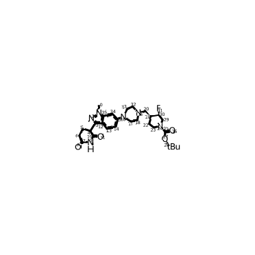 Cn1nc(C2CCC(=O)NC2=O)c2ccc(N3CCN(C[C@@H]4CCN(C(=O)OC(C)(C)C)C[C@@H]4F)CC3)cc21